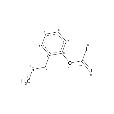 CSCc1ccccc1OC(=O)I